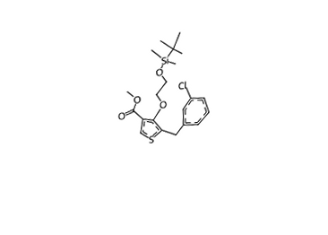 COC(=O)c1csc(Cc2cccc(Cl)c2)c1OCCO[Si](C)(C)C(C)(C)C